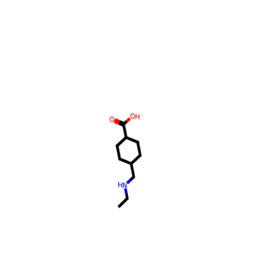 CCNCC1CCC(C(=O)O)CC1